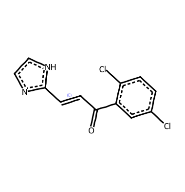 O=C(/C=C/c1ncc[nH]1)c1cc(Cl)ccc1Cl